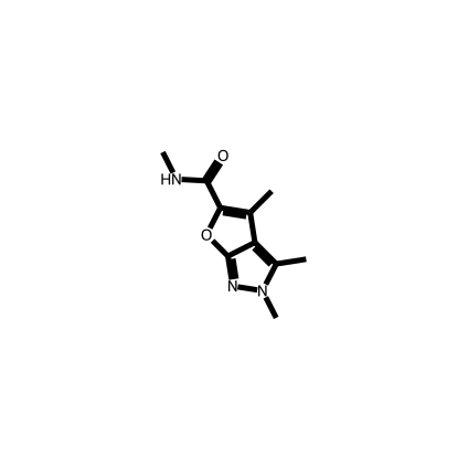 CNC(=O)c1oc2nn(C)c(C)c2c1C